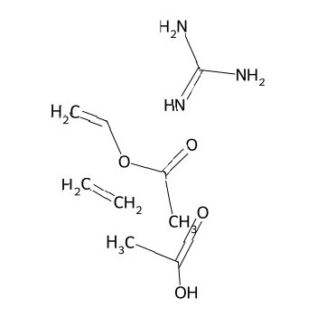 C=C.C=COC(C)=O.CC(=O)O.N=C(N)N